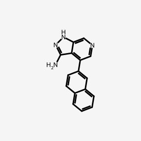 Nc1n[nH]c2cncc(-c3ccc4ccccc4c3)c12